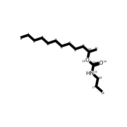 CCCCCCCCCCC(C)OC(=O)NCCC